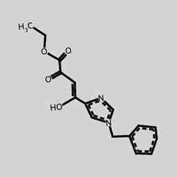 CCOC(=O)C(=O)/C=C(\O)c1cn(Cc2ccccc2)cn1